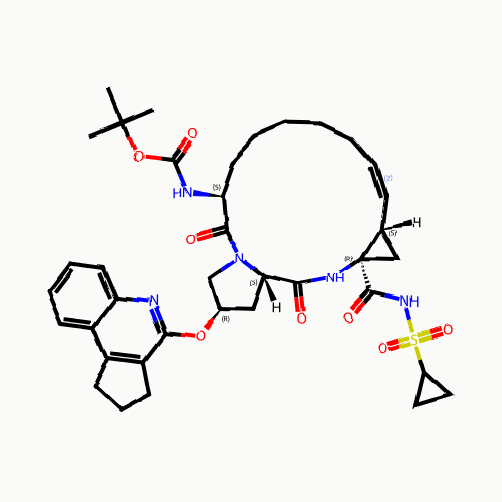 CC(C)(C)OC(=O)N[C@H]1CCCCC/C=C\[C@@H]2C[C@@]2(C(=O)NS(=O)(=O)C2CC2)NC(=O)[C@@H]2C[C@@H](Oc3nc4ccccc4c4c3CCC4)CN2C1=O